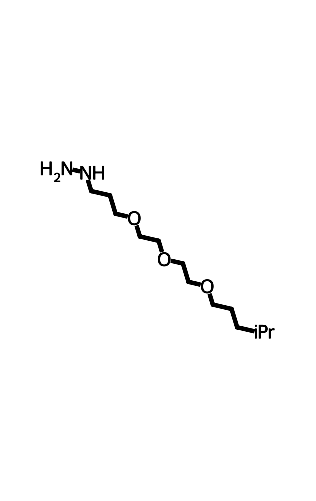 CC(C)CCCOCCOCCOCCCNN